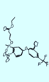 CCOC(=O)CCOP(C)(=O)c1cc(Oc2ccc(C(F)(F)F)cc2Cl)ccc1[N+](=O)[O-]